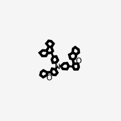 c1ccc2c(c1)cc(-c1ccc(N(c3ccc(-c4cccc5oc6c7ccccc7ccc6c45)cc3)c3ccc4oc5ccccc5c4c3)cc1)c1ccccc12